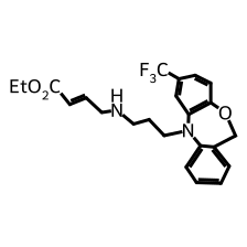 CCOC(=O)/C=C/CNCCCN1c2ccccc2COc2ccc(C(F)(F)F)cc21